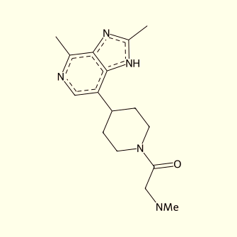 CNCC(=O)N1CCC(c2cnc(C)c3nc(C)[nH]c23)CC1